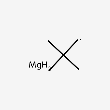 [CH2]C(C)(C)C.[MgH2]